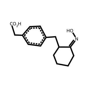 O=C(O)Cc1ccc(CC2CCCC/C2=N/O)cc1